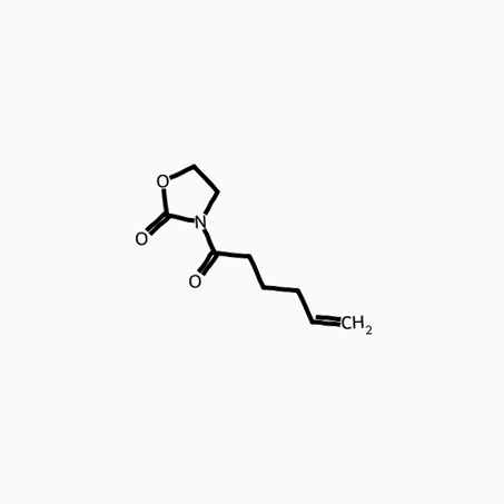 C=CCCCC(=O)N1CCOC1=O